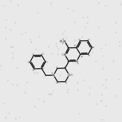 Nc1nc(C2CN(Cc3ccccc3)CCO2)nc2ccccc12